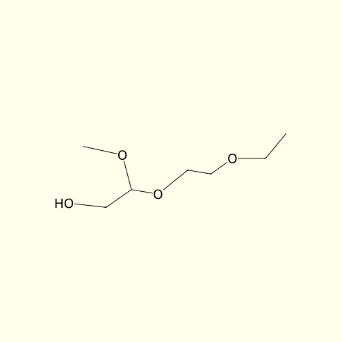 CCOCCOC(CO)OC